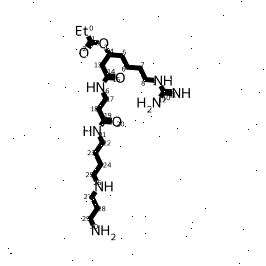 CCC(=O)OC(CCCCNC(=N)N)CC(=O)NCCC(=O)NCCCCNCCCN